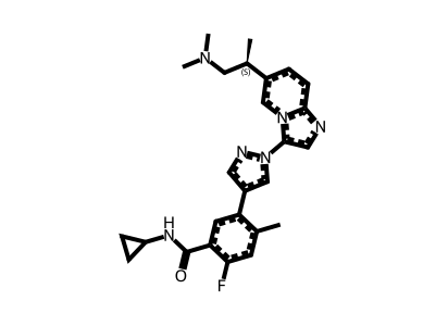 Cc1cc(F)c(C(=O)NC2CC2)cc1-c1cnn(-c2cnc3ccc([C@H](C)CN(C)C)cn23)c1